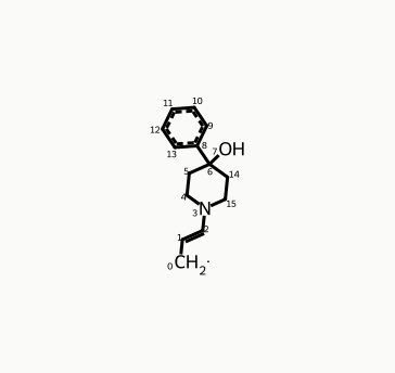 [CH2]C=CN1CCC(O)(c2ccccc2)CC1